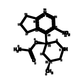 C[C@H]1CNC[C@@](OC(N)=O)(c2c([N+](=O)[O-])cnc3c2CCC3)C1